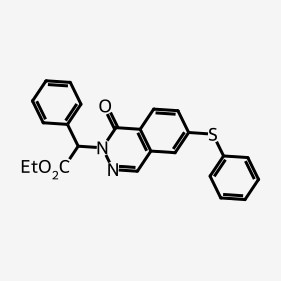 CCOC(=O)C(c1ccccc1)n1ncc2cc(Sc3ccccc3)ccc2c1=O